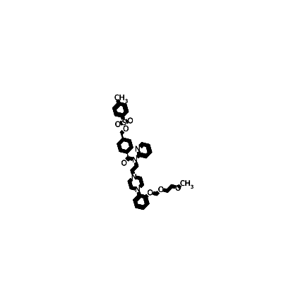 COCCOCOc1ccccc1N1CCN(CCN(c2ccccn2)C(=O)[C@H]2CC[C@H](COS(=O)(=O)c3ccc(C)cc3)CC2)CC1